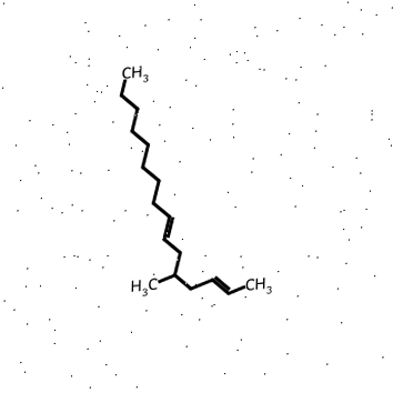 CC=CCC(C)CC=CCCCCCCCC